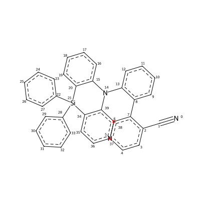 N#Cc1ccncc1-c1ccccc1N1c2ccccc2[Si](c2ccccc2)(c2ccccc2)c2ccccc21